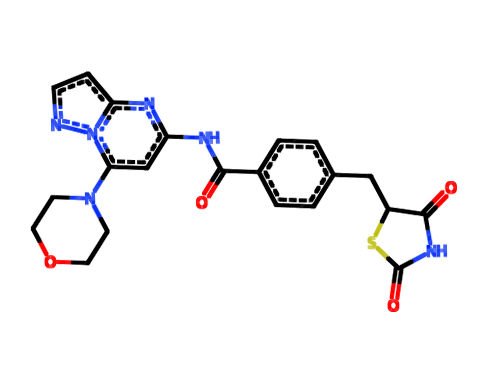 O=C1NC(=O)C(Cc2ccc(C(=O)Nc3cc(N4CCOCC4)n4nccc4n3)cc2)S1